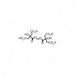 O=C(O)CC(O)(CC(=O)O)C(=O)OCOC(=O)C(O)(CC(=O)O)CC(=O)O